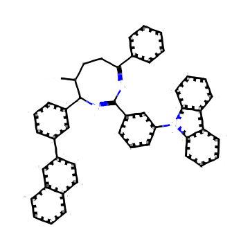 CC1CC/C(c2ccccc2)=N\C(c2cccc(-n3c4ccccc4c4ccccc43)c2)=N/C1c1cccc(-c2ccc3ccccc3c2)c1